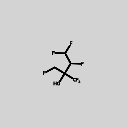 OC(CF)(C(F)C(F)F)C(F)(F)F